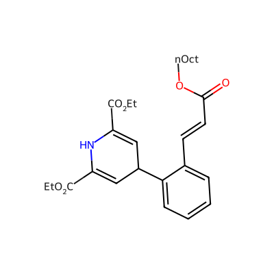 CCCCCCCCOC(=O)C=Cc1ccccc1C1C=C(C(=O)OCC)NC(C(=O)OCC)=C1